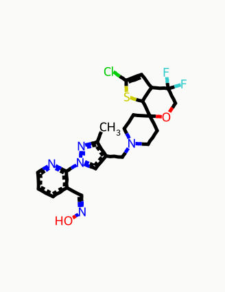 Cc1nn(-c2ncccc2/C=N\O)cc1CN1CCC2(CC1)OCC(F)(F)C1C=C(Cl)SC12